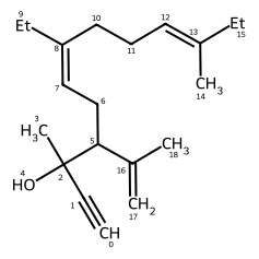 C#CC(C)(O)C(CC=C(CC)CCC=C(C)CC)C(=C)C